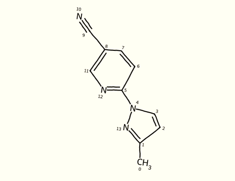 Cc1ccn(-c2ccc(C#N)cn2)n1